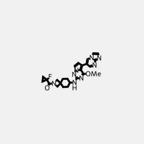 COc1nc(NC2CCC3(CC2)CN(C(=O)C2(F)CC2)C3)nn2ccc(-c3cnc4nccn4c3)c12